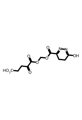 O=C(O)CCC(=O)C(=O)OCOC(=O)C1=NN=C(O)CC1